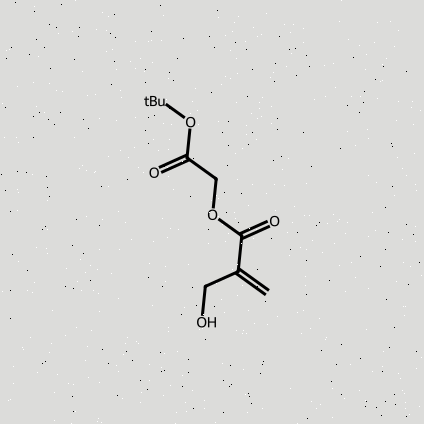 C=C(CO)C(=O)OCC(=O)OC(C)(C)C